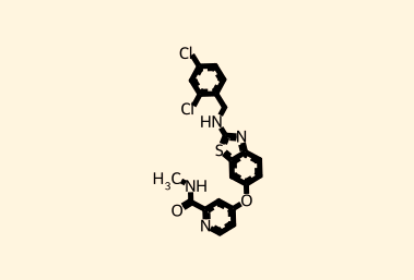 CNC(=O)c1cc(Oc2ccc3nc(NCc4ccc(Cl)cc4Cl)sc3c2)ccn1